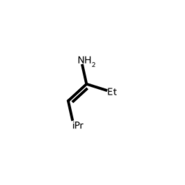 CC/C(N)=C\C(C)C